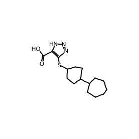 O=C(O)c1[nH]nnc1SC1CCC(C2CCCCCC2)CC1